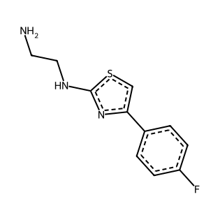 NCCNc1nc(-c2ccc(F)cc2)cs1